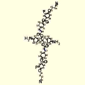 N#CCCCOC1=CC=C(C(=O)OC2=CC=C(/C=C/C(=O)OCC(COC(=O)/C=C/C3=CC=C(OC(=O)c4ccc(OCCCC#N)c(F)c4)CC3)(Cc3ccc(N)cc3)Cc3ccc(N)cc3)CC2)CC1F